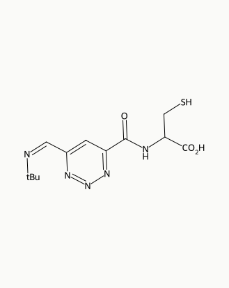 CC(C)(C)/N=C\c1cc(C(=O)NC(CS)C(=O)O)nnn1